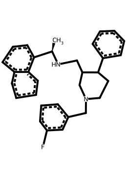 C[C@@H](NCC1CN(Cc2cccc(F)c2)CCC1c1ccccc1)c1cccc2ccccc12